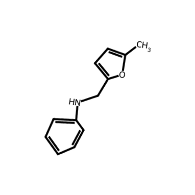 Cc1ccc(CNc2ccccc2)o1